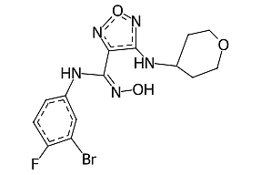 ON=C(Nc1ccc(F)c(Br)c1)c1nonc1NC1CCOCC1